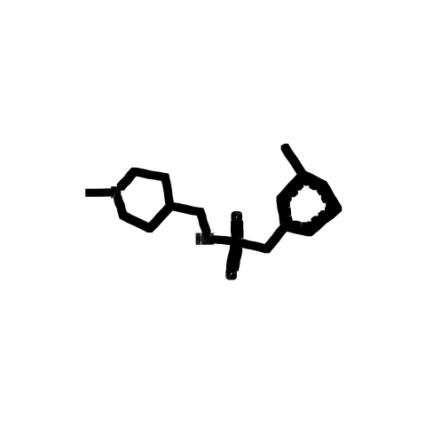 Cc1cccc(CS(=O)(=O)NCC2CCN(C)CC2)c1